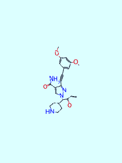 C=CC(=O)C(C1CCNCC1)n1cc(C(N)=O)c(C#Cc2cc(OC)cc(OC)c2)n1